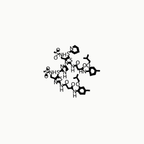 Cc1ccc(NC(=O)CC(=O)Nc2nc(CNS(C)(=O)=O)c(Sc3ccccn3)s2)c(OCC(C)C)c1.Cc1ccc(NC(=O)CC(=O)Nc2nc(CNS(C)(=O)=O)c(Sc3ncc[nH]3)s2)c(OCC(C)C)c1